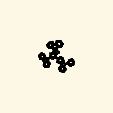 c1ccc(-n2c3ccccc3c3cc(-c4nc(-n5c6ccccc6c6ccccc65)nc5c4oc4c6ccccc6c6ccccc6c54)ccc32)cc1